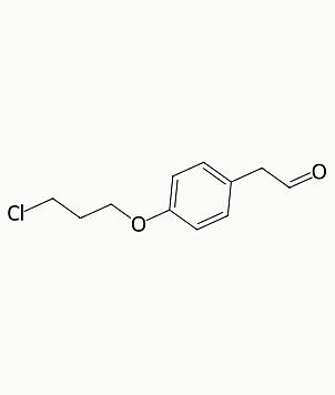 O=CCc1ccc(OCCCCl)cc1